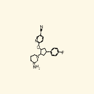 N#Cc1ccc(OC2CC(c3ccc(F)cc3)CC2N2CCC[C@@H](N)C2)nc1